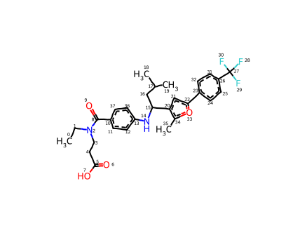 CCN(CCC(=O)O)C(=O)c1ccc(NC(CC(C)C)c2cc(-c3ccc(C(F)(F)F)cc3)oc2C)cc1